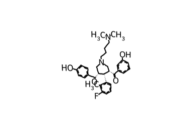 Cc1c(F)cccc1[C@H]1[C@@H](C(=O)c2cccc(O)c2)CN(CCCCN(C)C)C[C@H]1C(=O)c1ccc(O)cc1